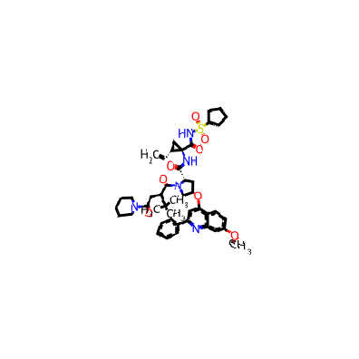 C=C[C@@H]1C[C@]1(NC(=O)[C@@H]1C[C@@H](Oc2cc(-c3ccccc3)nc3cc(OC)ccc23)CN1C(=O)C(CC(=O)N1CCCCC1)C(C)(C)C)C(=O)NS(=O)(=O)C1CCCC1